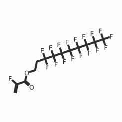 C=C(F)C(=O)OCCC(F)(F)C(F)(F)C(F)(F)C(F)(F)C(F)(F)C(F)(F)C(F)(F)C(F)(F)F